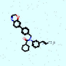 O=C(O)/C=C/c1cccc(N(Cc2ccc(-c3ccc4c(c3)OCC=N4)cc2)C(=O)C2CCCCC2)c1